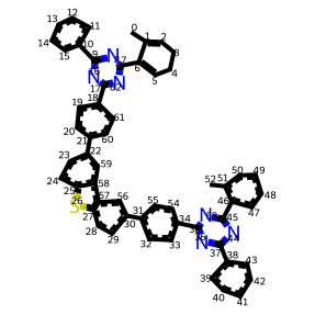 CC1=CCCC=C1c1nc(-c2ccccc2)nc(-c2ccc(-c3ccc4sc5ccc(-c6ccc(-c7nc(-c8ccccc8)nc(-c8ccccc8C)n7)cc6)cc5c4c3)cc2)n1